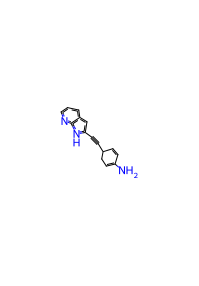 NC1=CCC(C#Cc2cc3cccnc3[nH]2)C=C1